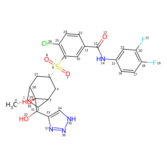 C[C@H]1CC2C[C@@H](S(=O)(=O)c3cc(C(=O)Nc4ccc(F)c(F)c4)ccc3Cl)CC1[C@@]2(O)C(O)c1c[nH]nn1